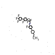 CCCC1CCC(c2ccc(/C=C/C(F)(F)Oc3ccc(-c4cc(F)c(F)c(F)c4)c(F)c3)c(F)c2)CC1